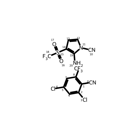 N#Cc1c(Cl)cc(Cl)cc1C(F)(F)F.N#Cn1ccc(S(=O)(=O)C(F)(F)F)c1N